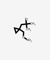 CCC(C)(C)CC1(CO[N+](=O)[O-])CC1